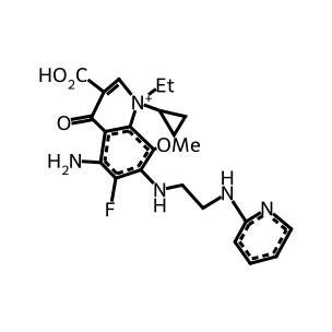 CC[N+]1(C2CC2)C=C(C(=O)O)C(=O)c2c(N)c(F)c(NCCNc3ccccn3)c(OC)c21